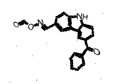 O=CO/N=C/c1ccc2[nH]c3ccc(C(=O)c4ccccc4)cc3c2c1